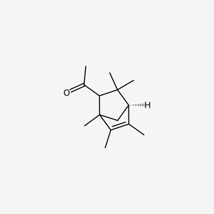 CC(=O)C1C2(C)C[C@H](C(C)=C2C)C1(C)C